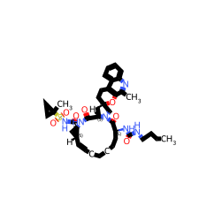 CCCCNC(=O)N[C@H]1CCCCCC=C[C@@H]2C[C@@]2(C(=O)NS(=O)(=O)C2(C)CC2)NC(=O)[C@@H]2C[C@]3(CCc4c(c(C)nc5ccccc45)O3)CN2C1=O